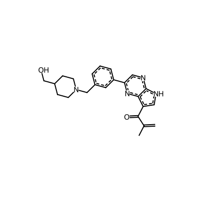 C=C(C)C(=O)c1c[nH]c2ncc(-c3cccc(CN4CCC(CO)CC4)c3)nc12